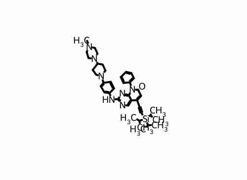 CC(C)[Si](C#Cc1cc(=O)n(-c2ccccc2)c2nc(Nc3ccc(N4CCC(N5CCN(C)CC5)CC4)cc3)ncc12)(C(C)C)C(C)C